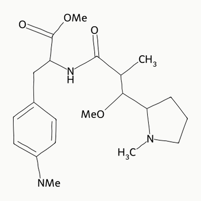 CNc1ccc(CC(NC(=O)C(C)C(OC)C2CCCN2C)C(=O)OC)cc1